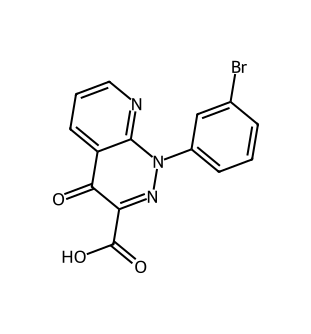 O=C(O)c1nn(-c2cccc(Br)c2)c2ncccc2c1=O